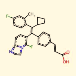 Cc1cc(F)ccc1C(=C(c1ccc(C=CC(=O)O)cc1)c1ccc2nccn2c1F)C1CCC1